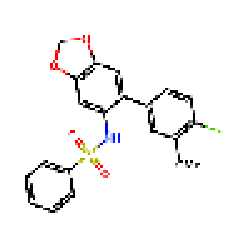 COc1cc(-c2cc3c(cc2NS(=O)(=O)c2ccccc2)OCO3)ccc1F